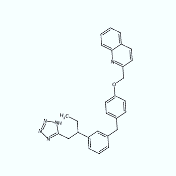 CCC(Cc1nnn[nH]1)c1cccc(Cc2ccc(OCc3ccc4ccccc4n3)cc2)c1